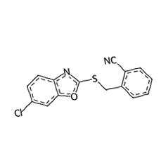 N#Cc1ccccc1CSc1nc2ccc(Cl)cc2o1